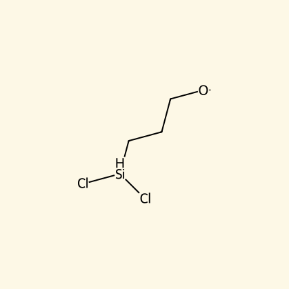 [O]CCC[SiH](Cl)Cl